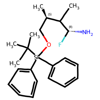 CC([C@H](N)F)[C@H](C)CO[Si](c1ccccc1)(c1ccccc1)C(C)(C)C